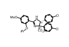 CCOC(=O)[C@@]1(c2ccc(Cl)cc2)N=C(c2ccc(OC)cc2OC(C)C)N[C@@H]1c1ccc(Cl)cc1